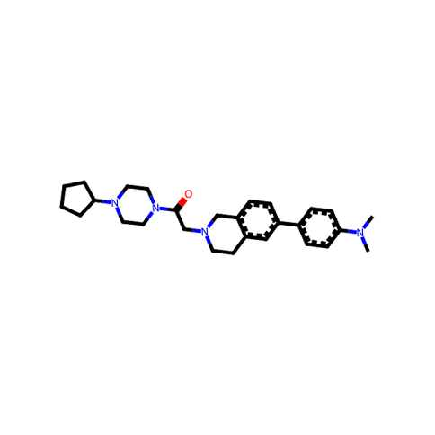 CN(C)c1ccc(-c2ccc3c(c2)CCN(CC(=O)N2CCN(C4CCCC4)CC2)C3)cc1